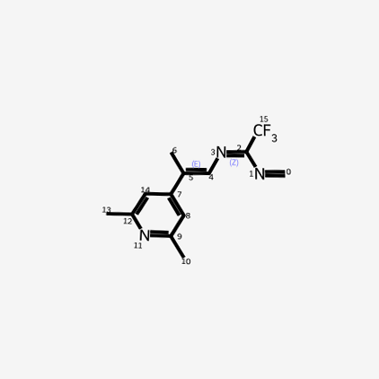 C=N/C(=N\C=C(/C)c1cc(C)nc(C)c1)C(F)(F)F